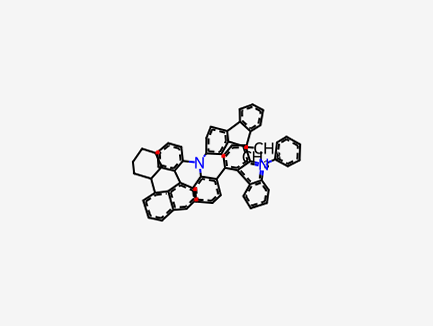 CC1(C)c2ccccc2-c2ccc(N(c3ccccc3-c3cccc4cccc(C5CCCCC5)c34)c3ccccc3-c3cccc4c3c3ccccc3n4-c3ccccc3)cc21